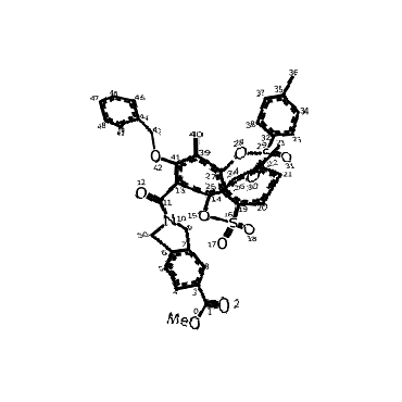 COC(=O)c1ccc2c(c1)CN(C(=O)c1c(OS(=O)(=O)c3ccc(C)cc3)cc(OS(=O)(=O)c3ccc(C)cc3)c(C)c1OCc1ccccc1)C2